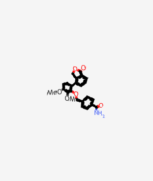 COc1ccc(-c2cccc3c2COC3=O)c(OCc2ccc(C(N)=O)cc2)c1OC